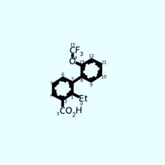 CCc1c(C(=O)O)cccc1-c1ccccc1OC(F)(F)F